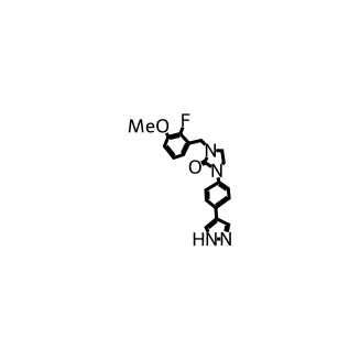 COc1cccc(CN2CCN(c3ccc(-c4cn[nH]c4)cc3)C2=O)c1F